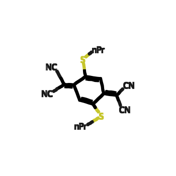 CCCSc1cc(=C(C#N)C#N)c(SCCC)cc1=C(C#N)C#N